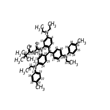 CCN(CC)c1ccc(C(c2ccc(N(CC)c3ccc(C)cc3)cc2)c2ccc(N(CC)c3ccc(C)cc3)cc2)c(NC(=S)NC(=O)C(C)(C)C)c1